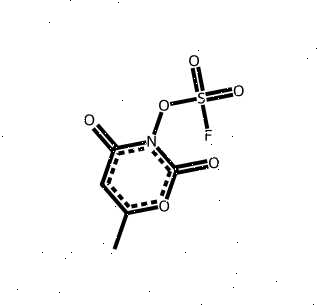 Cc1cc(=O)n(OS(=O)(=O)F)c(=O)o1